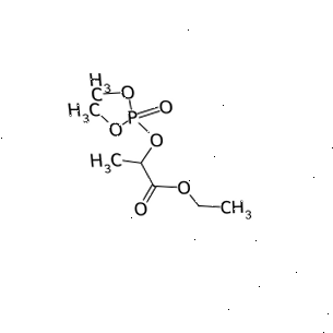 CCOC(=O)C(C)OP(=O)(OC)OC